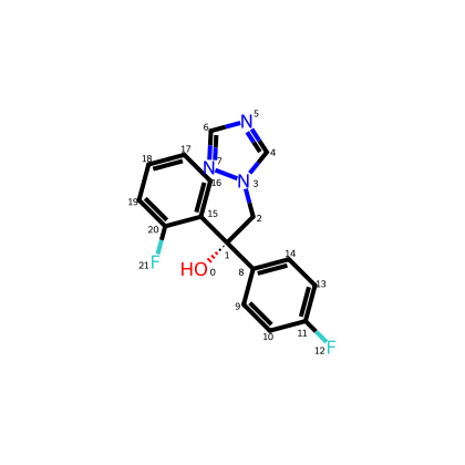 O[C@](Cn1cncn1)(c1ccc(F)cc1)c1ccccc1F